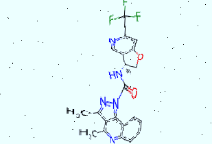 Cc1nc2ccccc2c2c1c(C)nn2C(=O)N[C@H]1COc2cc(C(F)(F)F)ncc21